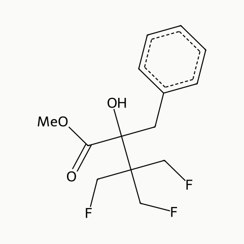 COC(=O)C(O)(Cc1ccccc1)C(CF)(CF)CF